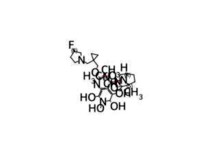 CC(C)(C)OC(=O)N1[C@@H]2CC[C@@]1(C)CN(c1nc(OCC3(CN4CC[C@@H](F)C4)CC3)nc3c1=C(O)C(O)N(O)C=3O)C2